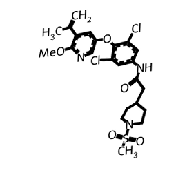 C=C(C)c1cc(Oc2c(Cl)cc(NC(=O)CC3CCN(S(C)(=O)=O)CC3)cc2Cl)cnc1OC